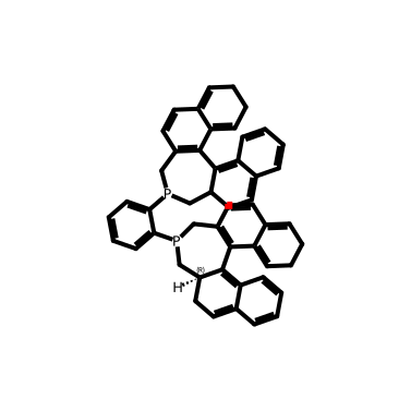 C1=c2ccccc2=C2c3c(ccc4c3=CCCC=4)CP(c3ccccc3P3Cc4ccc5c(c4C4=c6ccccc6=CC[C@H]4C3)=CCCC=5)CC2C1